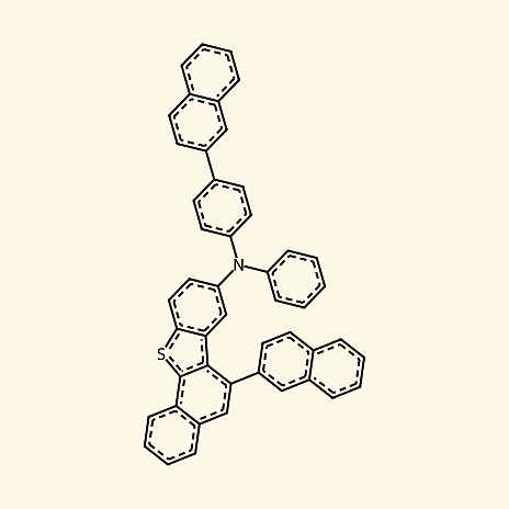 c1ccc(N(c2ccc(-c3ccc4ccccc4c3)cc2)c2ccc3sc4c5ccccc5cc(-c5ccc6ccccc6c5)c4c3c2)cc1